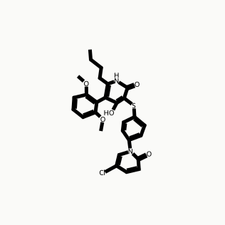 CCCCc1[nH]c(=O)c(Sc2ccc(-n3cc(Cl)ccc3=O)cc2)c(O)c1-c1c(OC)cccc1OC